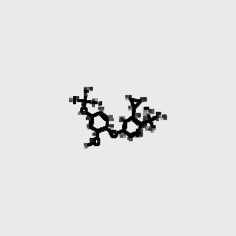 COc1cc(OC(F)(F)F)ccc1Oc1cnc(C(F)(F)F)c(C2CC2)c1